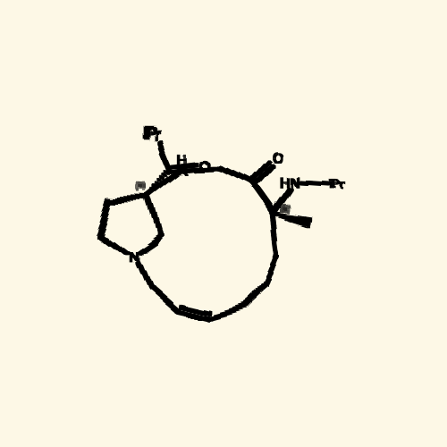 CC(C)N[C@]1(C)CCCC=CCN2CC[C@](C(=O)C(C)C)(C2)NCC1=O